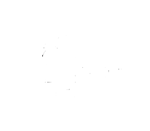 O=C(O)CCCCCCN1C(=O)CC[C@@H]1C=CC(O)c1cccc(-n2ccc3ccccc32)c1